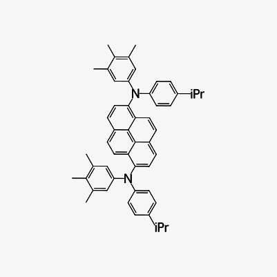 Cc1cc(N(c2ccc(C(C)C)cc2)c2ccc3ccc4c(N(c5ccc(C(C)C)cc5)c5cc(C)c(C)c(C)c5)ccc5ccc2c3c54)cc(C)c1C